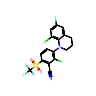 N#Cc1c(S(=O)(=O)C(F)(F)F)ccc(N2CCCc3cc(F)cc(Cl)c32)c1Cl